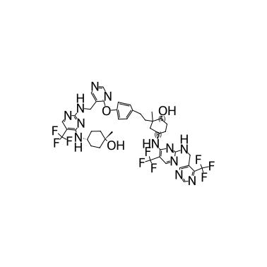 CC1(CCc2ccc(Oc3ncncc3CNc3ncc(C(F)(F)F)c(N[C@H]4CC[C@@](C)(O)CC4)n3)cc2)C[C@H](Nc2nc(NCc3cncnc3C(F)(F)F)ncc2C(F)(F)F)CC[C@@H]1O